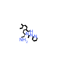 C=CC(=C)/C=C\C1=C(C)N(C(=C)Nc2ccccn2)[C@@H](CCN)CC1